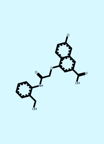 O=C(COc1cc(C(=O)O)cc2cc(Cl)ccc12)Nc1ccccc1CO